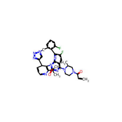 C=CC(=O)N1CCN(c2nc(=O)n3c4nc(c(F)cc24)-c2c(F)cccc2Cn2cc(nn2)C2C=CC=NC(C(C)C)=C23)[C@@H](C)C1